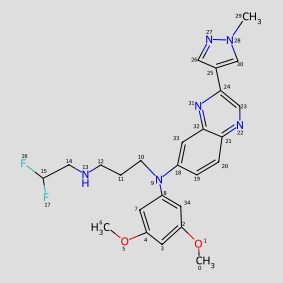 COc1cc(OC)cc(N(CCCNCC(F)F)c2ccc3ncc(-c4cnn(C)c4)nc3c2)c1